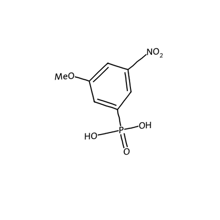 COc1cc([N+](=O)[O-])cc(P(=O)(O)O)c1